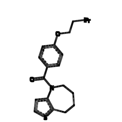 CC(C)CCOc1ccc(C(=O)N2CCCCc3sccc32)cc1